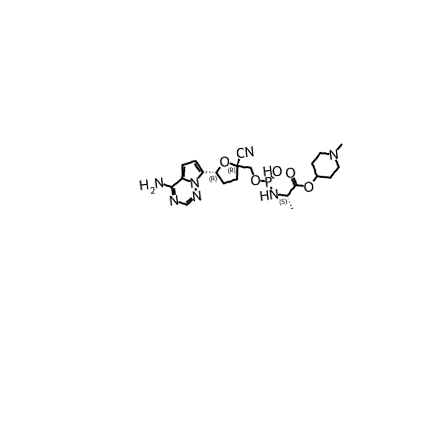 C[C@H](N[PH](=O)OC[C@]1(C#N)CC[C@H](c2ccc3c(N)ncnn23)O1)C(=O)OC1CCN(C)CC1